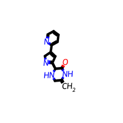 C=C1CNC(C2=NCC(c3ccccn3)=C2)C(=O)N1